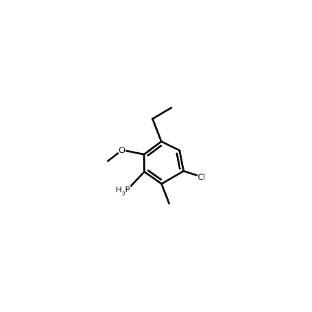 CCc1cc(Cl)c(C)c(P)c1OC